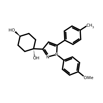 COc1ccc(-n2nc([C@]3(O)CC[C@H](O)CC3)cc2-c2ccc(C)cc2)cc1